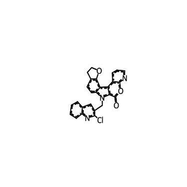 O=c1oc2ncccc2c2c3c4c(ccc3n(Cc3cc5ccccc5nc3Cl)c12)CCO4